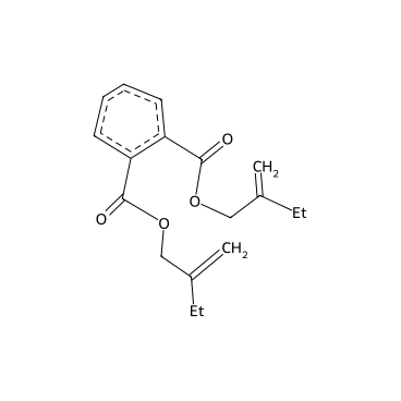 C=C(CC)COC(=O)c1ccccc1C(=O)OCC(=C)CC